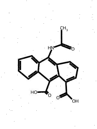 CC(=O)Nc1c2ccccc2c(C(=O)O)c2c(C(=O)O)cccc12